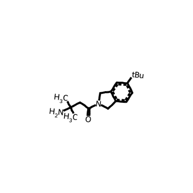 CC(C)(N)CC(=O)N1Cc2ccc(C(C)(C)C)cc2C1